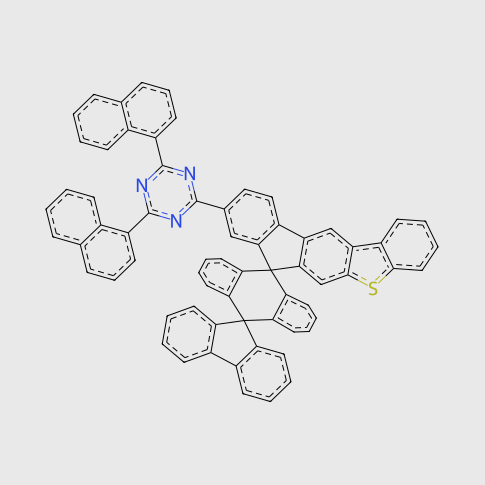 c1ccc2c(c1)-c1ccccc1C21c2ccccc2C2(c3cc(-c4nc(-c5cccc6ccccc56)nc(-c5cccc6ccccc56)n4)ccc3-c3cc4c(cc32)sc2ccccc24)c2ccccc21